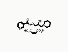 O=C(O)/C=C\C(=O)O.OC(CON=C(Cl)c1cccnc1)CN1CCCCC1